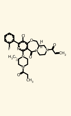 C=CC(=O)N1CCN2C(=O)c3c(N4CCN(C(=O)CC)C[C@@H]4C)nc(-c4ccccc4F)c(Cl)c3OC[C@H]2C1